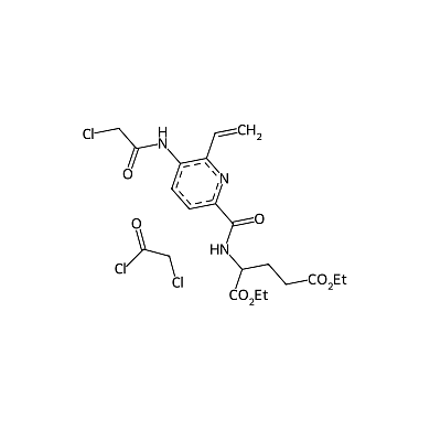 C=Cc1nc(C(=O)NC(CCC(=O)OCC)C(=O)OCC)ccc1NC(=O)CCl.O=C(Cl)CCl